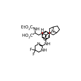 CCOC(=O)N[C@@H](CNC(=O)C1CC2CCC(C1)N2c1cccc(NC2=NCC(F)(F)CN2)c1)C(=O)O